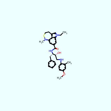 CCn1cc2c3c(cc(C(=O)N[C@@H](Cc4ccccc4)[C@H](O)CNc4ccc(OC)cc4C)cc31)N(C)SCC2